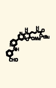 COC(=O)C(CCNC(=O)OC(C)(C)C)Nc1ncc(-c2ccnc(Nc3cccc(C=O)c3)c2)cn1